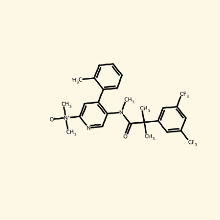 Cc1ccccc1-c1cc([N+](C)(C)[O-])ncc1N(C)C(=O)C(C)(C)c1cc(C(F)(F)F)cc(C(F)(F)F)c1